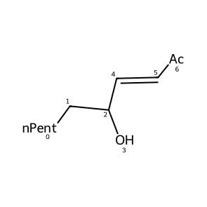 CCCCCCC(O)C=CC(C)=O